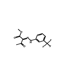 COC(=O)/C(=N/Nc1cccc(C(F)(F)F)c1)C(C)=O